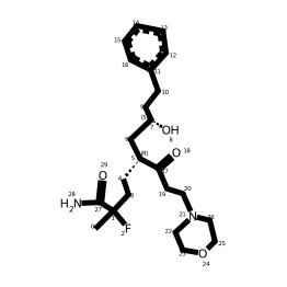 CC(F)(CC[C@H](C[C@@H](O)[CH]Cc1ccccc1)C(=O)CCN1CCOCC1)C(N)=O